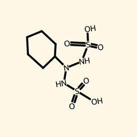 O=S(=O)(O)NN(NS(=O)(=O)O)C1CCCCC1